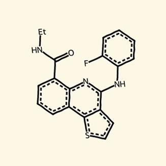 CCNC(=O)c1cccc2c1nc(Nc1ccccc1F)c1ccsc12